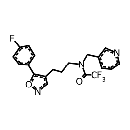 O=C(N(CCCc1cnoc1-c1ccc(F)cc1)Cc1cccnc1)C(F)(F)F